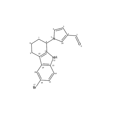 O=Cc1ccn(C2CCCc3c2[nH]c2ccc(Br)cc32)c1